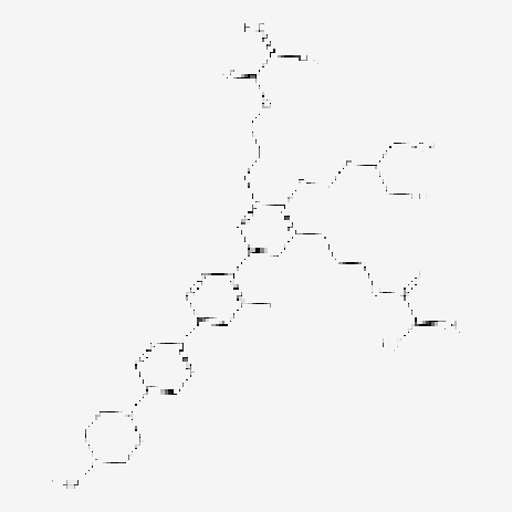 C=C(C)C(=O)OCCCc1cc(-c2ccc(-c3ccc(C4CCC(CCCCC)CC4)cc3)cc2F)cc(CCCOC(=O)C(=C)C)c1OCCC(CO)CO